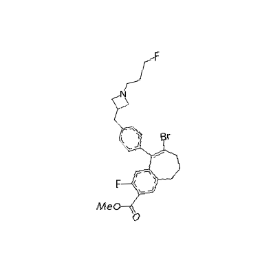 COC(=O)c1cc2c(cc1F)C(c1ccc(CC3CN(CCCF)C3)cc1)=C(Br)CCC2